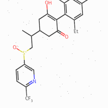 CCc1cc(C)cc(CC)c1C1=C(O)CC(C(C)C[S+]([O-])c2ccc(C(F)(F)F)nc2)CC1=O